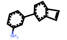 Nc1cccc(-c2ccc3c(c2)C=C3)c1